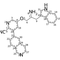 N#Cc1ncc(OCC(N)Cc2c[nH]c3ccccc23)cc1-c1ccc2cnccc2c1